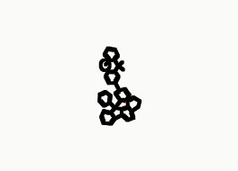 CC1(C)c2ccccc2Oc2ccc(-c3cccc(C4(c5ccccc5)c5ccccc5-c5ccc6c(c54)C=CCC6)c3)cc21